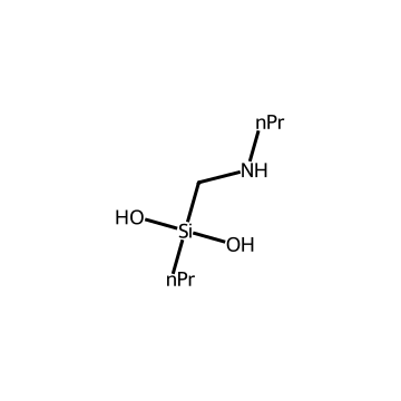 CCCNC[Si](O)(O)CCC